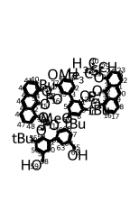 COc1cc(-c2cc(OC)cc(C(C)(C)C)c2OP2Oc3cccc4cc5cccc(O[Si](C)(C)C)c5c(c34)O2)c(OP2Oc3cccc4cc5cccc(Op6oc7c(C(C)(C)C)cc(CO)cc7c7cc(CO)cc(C(C)(C)C)c7o6)c5c(c34)O2)c(C(C)(C)C)c1